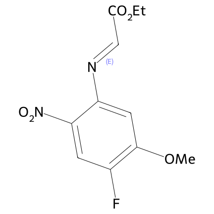 CCOC(=O)/C=N/c1cc(OC)c(F)cc1[N+](=O)[O-]